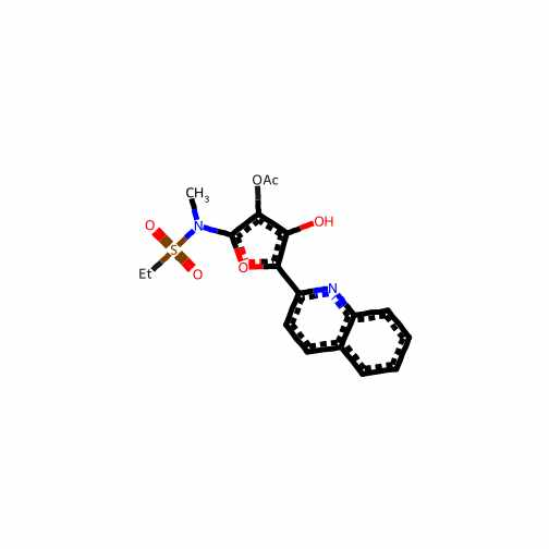 CCS(=O)(=O)N(C)c1oc(-c2ccc3ccccc3n2)c(O)c1OC(C)=O